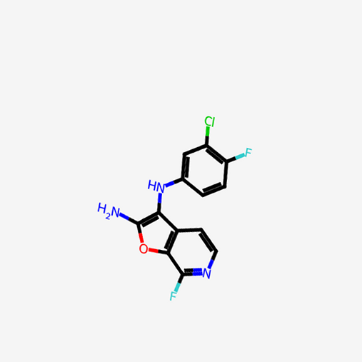 Nc1oc2c(F)nccc2c1Nc1ccc(F)c(Cl)c1